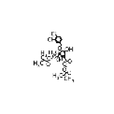 CC(C)C(=O)OCOC(=O)C1C2[C@H](O)C(OCc3ccc(Cl)c(Cl)c3)[C@@](C)(C(=O)OCOC(=O)C(C)C)[C@H]12